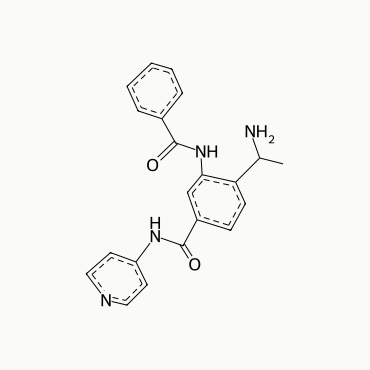 CC(N)c1ccc(C(=O)Nc2ccncc2)cc1NC(=O)c1ccccc1